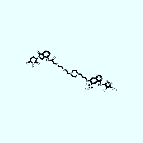 Cc1[nH]nc(Nc2ncnc3cc(OCCCN4CCN(CCOCCOCC(=O)Nc5cccc6c5CN(C5CCC(=O)NC5=O)C6=O)CC4)c(S(=O)(=O)C(C)(C)C)cc23)c1C